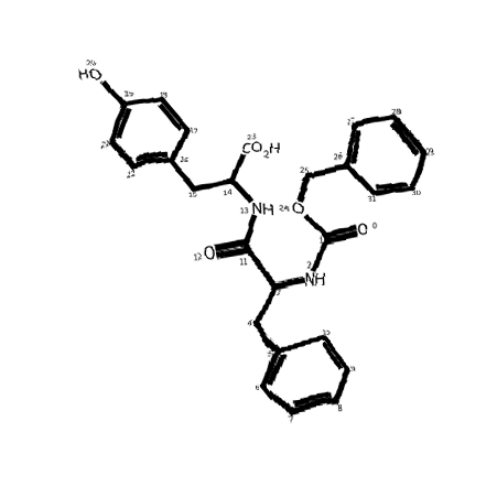 O=C(NC(Cc1ccccc1)C(=O)NC(Cc1ccc(O)cc1)C(=O)O)OCc1ccccc1